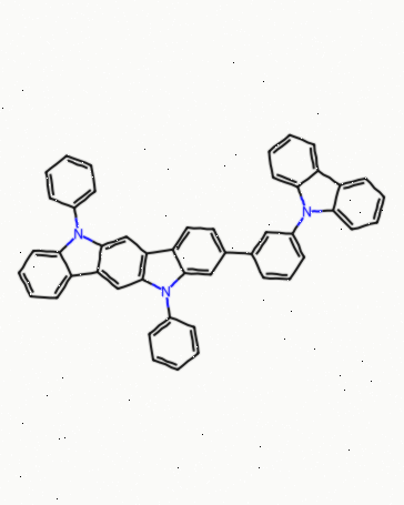 c1ccc(-n2c3ccccc3c3cc4c(cc32)c2ccc(-c3cccc(-n5c6ccccc6c6ccccc65)c3)cc2n4-c2ccccc2)cc1